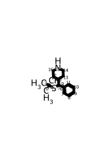 CC(C)(C)SC(c1ccccc1)C1CCNCC1